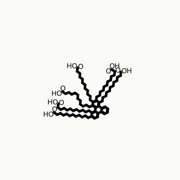 O=C(O)CCCCCCCCCCCc1ccc2c3ccccc3c3c(CCCCCCCCCCCC(=O)O)c(CCCCCCCCCCCC(=O)O)c(CCCCCCCCCCCC(=O)O)c(CCCCCCCCCCCC(=O)O)c3c2c1CCCCCCCCCCCC(=O)O